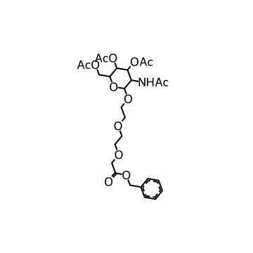 CC(=O)NC1C(OCCOCCOCC(=O)OCc2ccccc2)OC(COC(C)=O)C(OC(C)=O)C1OC(C)=O